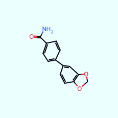 NC(=O)c1ccc(-c2ccc3c(c2)OCO3)cc1